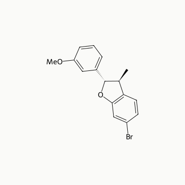 COc1cccc([C@H]2Oc3cc(Br)ccc3[C@@H]2C)c1